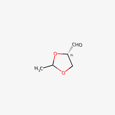 CC1OC[C@@H](C=O)O1